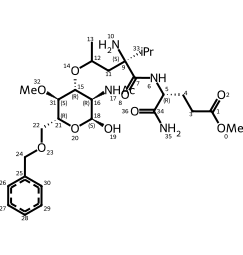 COC(=O)CC[C@@H](NC(=O)[C@](N)(CC(C)O[C@@H]1[C@@H](NC(C)=O)[C@@H](O)O[C@H](COCc2ccccc2)[C@H]1OC)C(C)C)C(N)=O